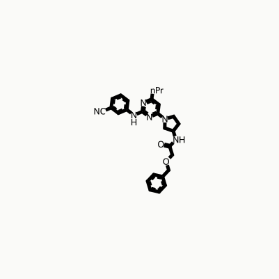 CCCc1cc(N2CCC(NC(=O)COCc3ccccc3)C2)nc(Nc2cccc(C#N)c2)n1